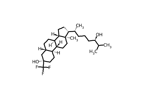 CC(C)[C@H](O)CCC[C@@H](C)[C@H]1CC[C@H]2[C@@H]3CC[C@H]4C[C@](O)(C(F)(F)F)CC[C@@H]4[C@H]3CC[C@]12C